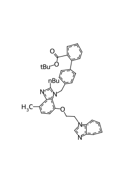 CCCCc1nc2c(C)ccc(OCCn3cnc4ccccc43)c2n1Cc1ccc(-c2ccccc2C(=O)OC(C)(C)C)cc1